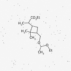 CCOC(=O)C(C)C1CC(COC(C)OCC)C1(C)C